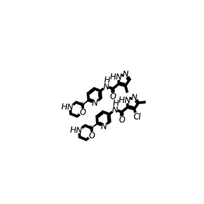 Cc1cn[nH]c1C(=O)Nc1ccc([C@@H]2CNCCO2)nc1.Cc1n[nH]c(C(=O)Nc2ccc([C@@H]3CNCCO3)nc2)c1Cl